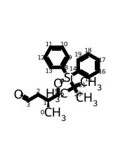 C[C@@H](CC=O)CO[Si](c1ccccc1)(c1ccccc1)C(C)(C)C